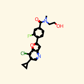 CN(CCO)C(=O)c1ccc(-c2cc3ncc(C4CC4)c(Cl)c3o2)c(F)c1